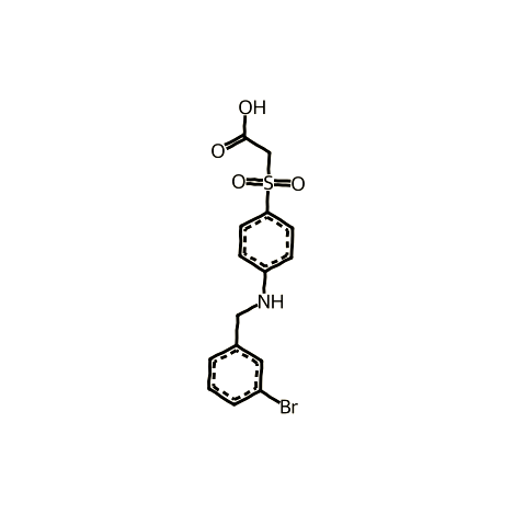 O=C(O)CS(=O)(=O)c1ccc(NCc2cccc(Br)c2)cc1